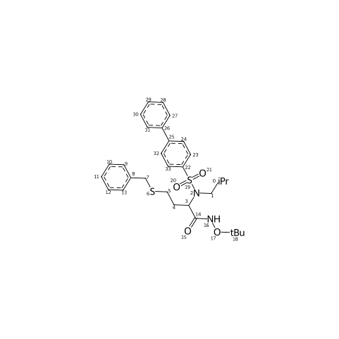 CC(C)CN(C(CCSCc1ccccc1)C(=O)NOC(C)(C)C)S(=O)(=O)c1ccc(-c2ccccc2)cc1